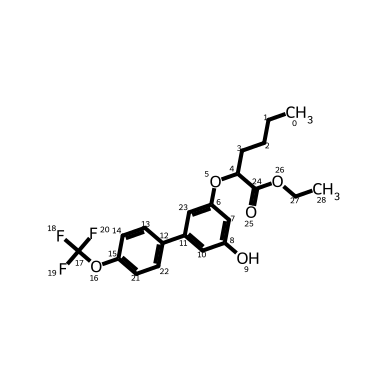 CCCCC(Oc1cc(O)cc(-c2ccc(OC(F)(F)F)cc2)c1)C(=O)OCC